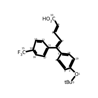 CC(C)(C)Oc1ccc(C(=CC=CC(=O)O)c2ccc(C(F)(F)F)cc2)cc1